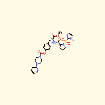 CC(C)OC(=O)[C@H](Cc1ccc(OC(=O)N2CCN(c3ccccn3)CC2)cc1)NC(=O)[C@@H]1CCCN1S(=O)(=O)c1nccn1C